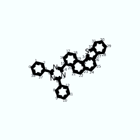 c1ccc(-c2nc(-c3ccccc3)nc(-c3cccc4c3ccc3ccc5c6ccccc6sc5c34)n2)cc1